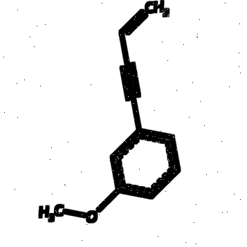 C=CC#Cc1cccc(OC)c1